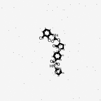 O=C(Nc1cccc(Cl)c1Cl)O[C@H]1CCN(c2ccc(S(=O)(=O)Nc3nccs3)cc2)C1=O